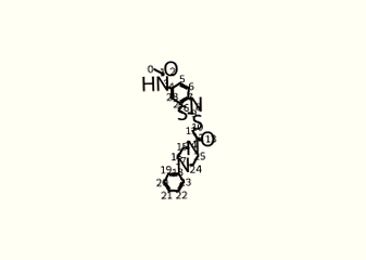 CC(=O)Nc1ccc2nc(SCC(=O)N3CCN(c4ccccc4)CC3)sc2c1